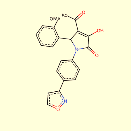 COc1ccccc1C1C(C(=O)C(C)=O)=C(O)C(=O)N1c1ccc(-c2ccon2)cc1